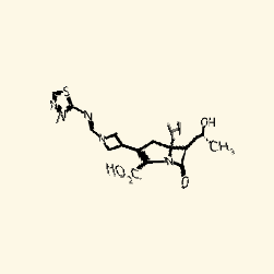 C[C@@H](O)[C@H]1C(=O)N2C(C(=O)O)=C(C3CN(/C=N/c4nncs4)C3)C[C@H]12